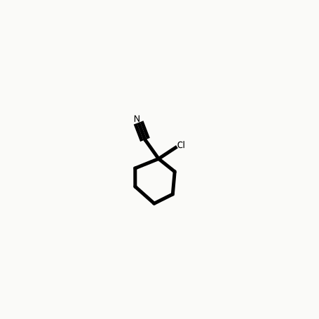 N#CC1(Cl)CCCCC1